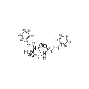 CC(=O)C[C@@H](NC(=O)CCCc1ccccc1)C(=O)N(N)CCc1ccccc1